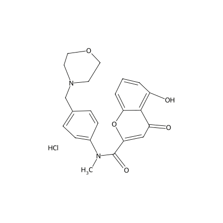 CN(C(=O)c1cc(=O)c2c(O)cccc2o1)c1ccc(CN2CCOCC2)cc1.Cl